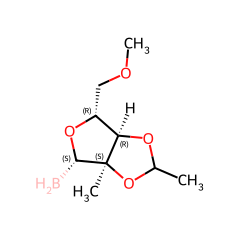 B[C@@H]1O[C@H](COC)[C@H]2OC(C)O[C@@]12C